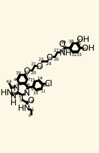 CCNC(=O)C[C@@H]1N=C(c2ccc(Cl)cc2)c2cc(OCCOCCOCCNC(=O)c3ccc(O)c(O)c3)ccc2N2C(C)NNC12